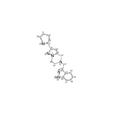 c1ccc(-c2cc3n(n2)CCN(Cc2n[nH]c4ccccc24)C3)nc1